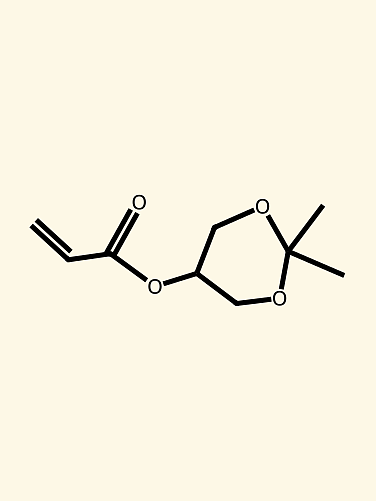 C=CC(=O)OC1COC(C)(C)OC1